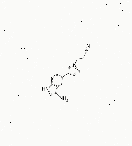 N#CCCn1cc(-c2ccc3[nH]nc(N)c3c2)cn1